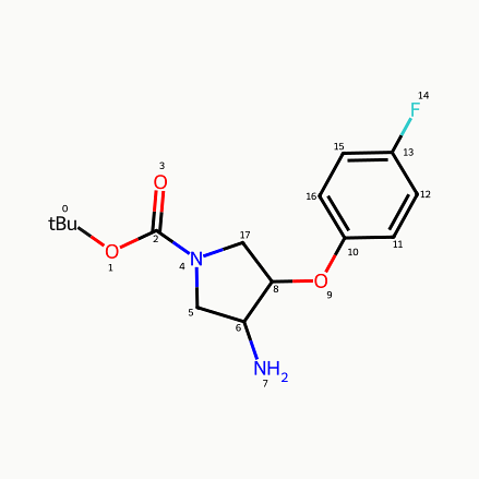 CC(C)(C)OC(=O)N1CC(N)C(Oc2ccc(F)cc2)C1